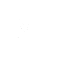 COc1ccc(C(Br)Br)cc1C(C)(C)C